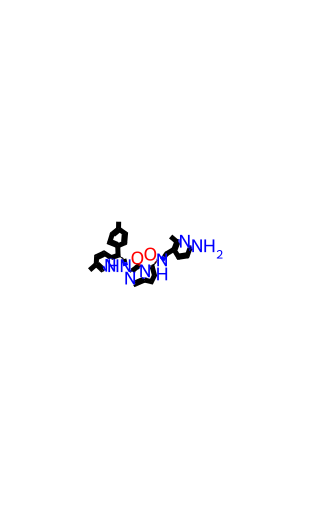 Cc1ccc([C@H](CNc2ncc3n(c2=O)[C@H](C(=O)NCc2ccc(N)nc2C)CC3)c2ccc(C)cn2)cc1